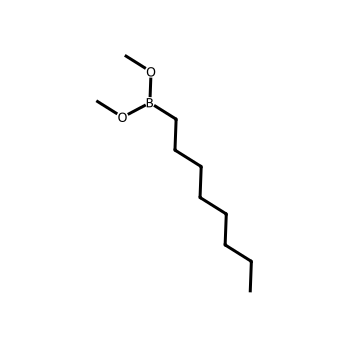 CCCCCCCCB(OC)OC